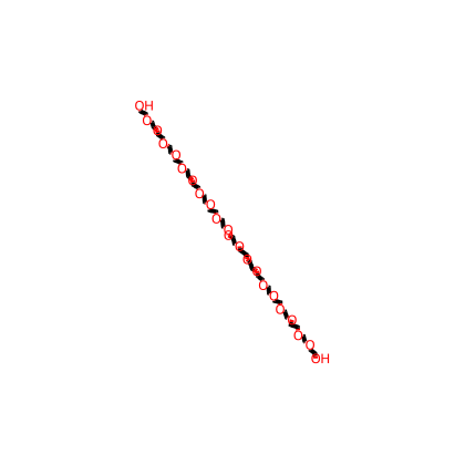 OCCOCCOCCOCCOCCOCCOCCOCCOCCOCCOOCCOCCOCCOCCOCCOCCOCCOCCOCCOCCO